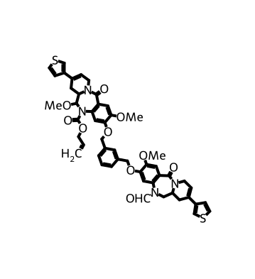 C=CCOC(=O)N1c2cc(OCc3cccc(COc4cc5c(cc4OC)C(=O)N4CC=C(c6ccsc6)CC4CN5C=O)c3)c(OC)cc2C(=O)N2CC=C(c3ccsc3)CC2C1OC